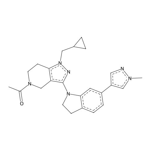 CC(=O)N1CCc2c(c(N3CCc4ccc(-c5cnn(C)c5)cc43)nn2CC2CC2)C1